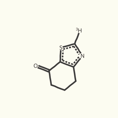 [3H]c1nc2c(s1)C(=O)CCC2